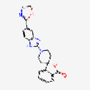 O=C1OC2(CCN(c3nc4cc(-c5ncco5)ccc4[nH]3)CC2)c2ccccc21